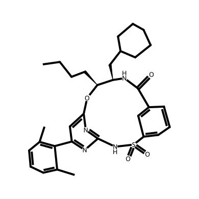 CCCC[C@@H]1Oc2cc(-c3c(C)cccc3C)nc(n2)NS(=O)(=O)c2cccc(c2)C(=O)N[C@@H]1CC1CCCCC1